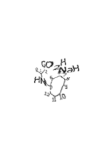 CC(CC(=O)O)NC1CCCCCCC1.[NaH]